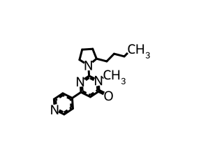 CCCCC1CCCN1c1nc(-c2ccncc2)cc(=O)n1C